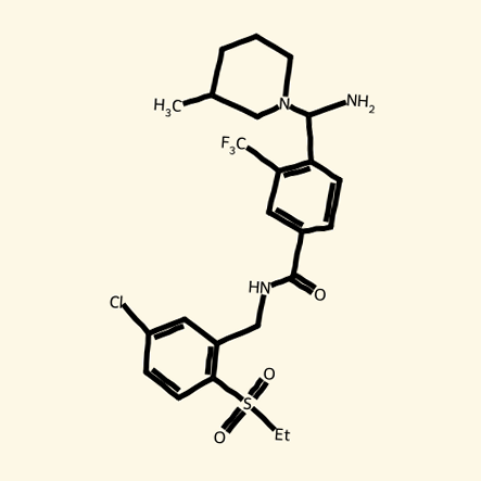 CCS(=O)(=O)c1ccc(Cl)cc1CNC(=O)c1ccc(C(N)N2CCCC(C)C2)c(C(F)(F)F)c1